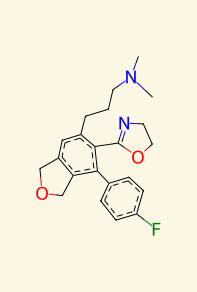 CN(C)CCCc1cc2c(c(-c3ccc(F)cc3)c1C1=NCCO1)COC2